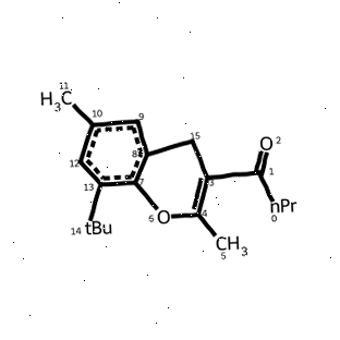 CCCC(=O)C1=C(C)Oc2c(cc(C)cc2C(C)(C)C)C1